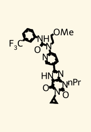 CCCn1c(=O)n(C2CC2)c(=O)c2[nH]c(-c3ccc(N(CCOC)C(=O)Nc4cccc(C(F)(F)F)c4)nc3)nc21